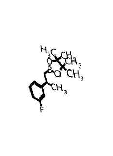 CC(CB1OC(C)(C)C(C)(C)O1)c1cccc(F)c1